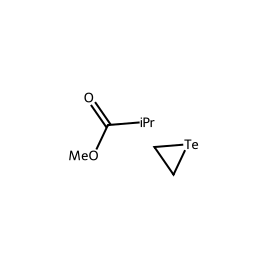 C1C[Te]1.COC(=O)C(C)C